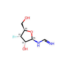 N=CN[C@@H]1O[C@H](CO)[C@@H](F)[C@H]1O